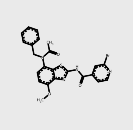 COc1ccc(N(Cc2ccccc2)C(C)=O)c2sc(NC(=O)c3ccnc(Br)c3)nc12